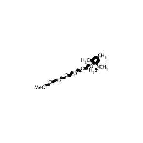 COCCOCCOCCOCCOCCOCCOc1c(C)cc(C)cc1N(C)C